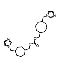 O=C(OCC1CCCC(Cn2ccnc2)CCC1)OCC1CCCC(Cn2ccnc2)CC1